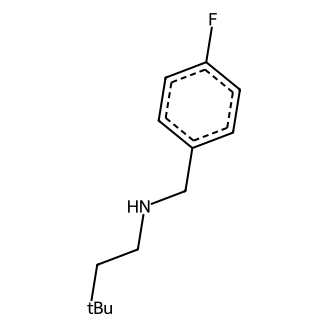 CC(C)(C)CCNCc1ccc(F)cc1